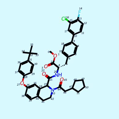 COC(=O)[C@H](Cc1ccc(-c2ccc(F)c(Cl)c2)cc1)NC(=O)C1c2cc(Oc3ccc(C(C)(C)C)cc3)ccc2CCN1C(=O)CC1CCCC1